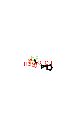 O=C(OC1CC1C1(O)CCCC1)C(F)(F)S(=O)(=O)O